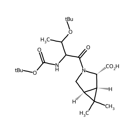 CC(OC(C)(C)C)C(NC(=O)OC(C)(C)C)C(=O)N1C[C@H]2[C@@H]([C@H]1C(=O)O)C2(C)C